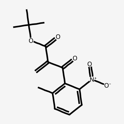 C=C(C(=O)OC(C)(C)C)C(=O)c1c(C)cccc1[N+](=O)[O-]